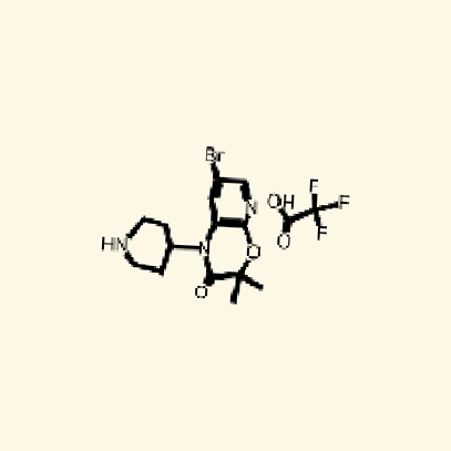 CC1(C)Oc2ncc(Br)cc2N(C2CCNCC2)C1=O.O=C(O)C(F)(F)F